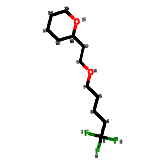 FC(F)(F)CCCCOCCC1CCCCO1